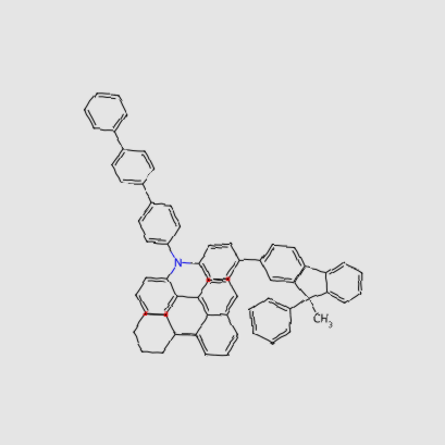 CC1(c2ccccc2)c2ccccc2-c2ccc(-c3ccc(N(c4ccc(-c5ccc(-c6ccccc6)cc5)cc4)c4ccccc4-c4cccc5cccc(C6CCCCC6)c45)cc3)cc21